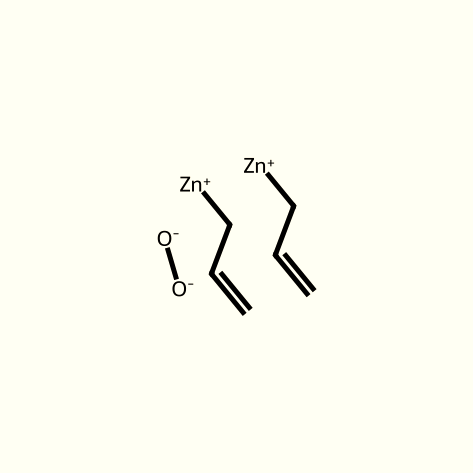 C=C[CH2][Zn+].C=C[CH2][Zn+].[O-][O-]